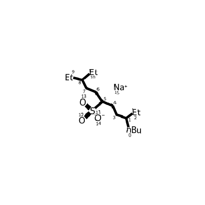 CCCCC(CC)CCC(CCC(CC)CC)S(=O)(=O)[O-].[Na+]